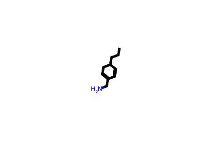 CCCC1C=CC(CN)=CC1